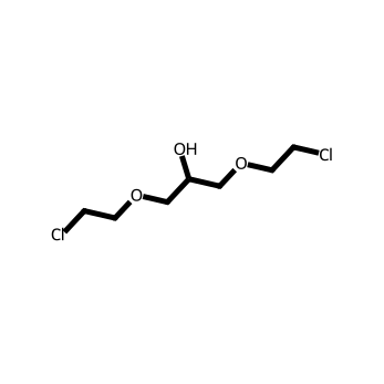 OC(COCCCl)COCCCl